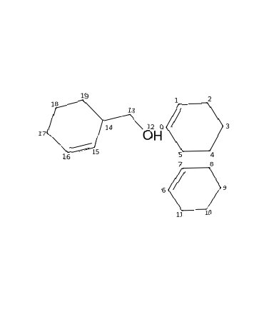 C1=CCCCC1.C1=CCCCC1.OCC1C=CCCC1